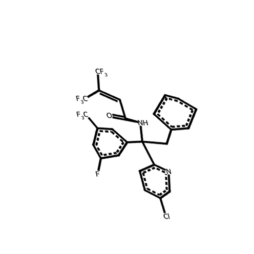 O=C(C=C(C(F)(F)F)C(F)(F)F)NC(Cc1ccccc1)(c1cc(F)cc(C(F)(F)F)c1)c1ccc(Cl)cn1